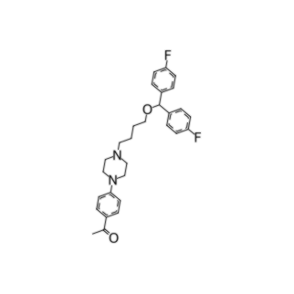 CC(=O)c1ccc(N2CCN(CCCCOC(c3ccc(F)cc3)c3ccc(F)cc3)CC2)cc1